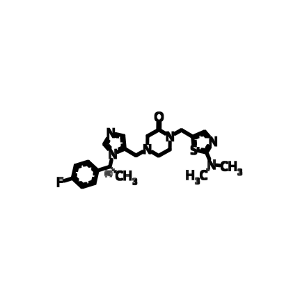 C[C@H](c1ccc(F)cc1)n1cncc1CN1CCN(Cc2cnc(N(C)C)s2)C(=O)C1